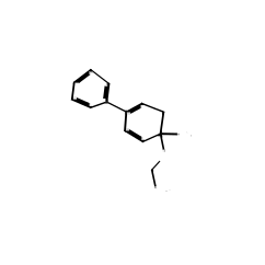 CCCCCCCCCCCOC1(C#N)C=CC(c2ccccc2)=CC1